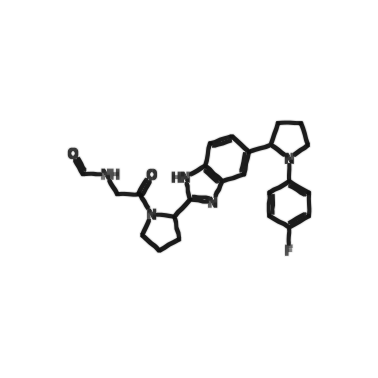 O=CNCC(=O)N1CCCC1c1nc2cc(C3CCCN3c3ccc(F)cc3)ccc2[nH]1